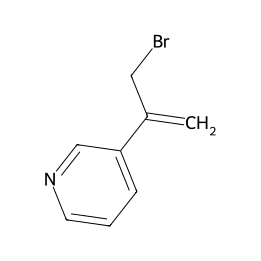 C=C(CBr)c1cccnc1